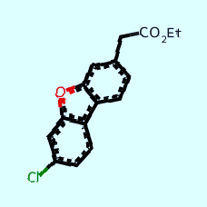 CCOC(=O)Cc1ccc2c(c1)oc1cc(Cl)ccc12